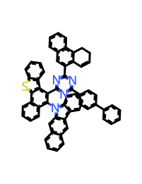 C1=Cc2c(-c3nc(-c4ccc(-c5ccccc5)cc4)nc(-c4c(-n5c6ccccc6c6cc7ccccc7cc65)c5ccccc5c5sc6ccccc6c45)n3)cc3ccccc3c2CC1